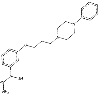 NC(=O)N(S)c1cccc(OCCCN2CCN(c3ccccc3)CC2)c1